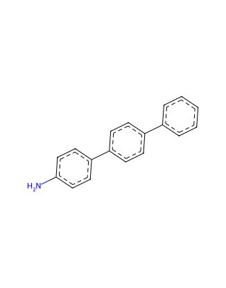 Nc1ccc(-c2ccc(-c3ccccc3)cc2)cc1